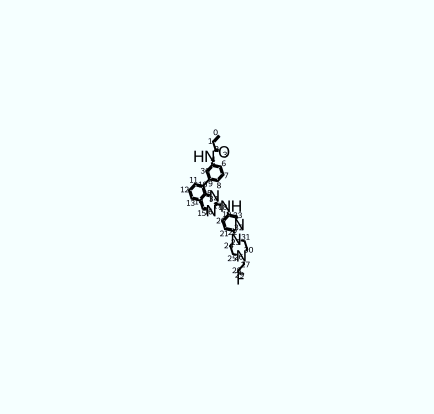 C=CC(=O)Nc1cccc(-c2cccc3cnc(Nc4ccc(N5CCN(CCF)CC5)nc4)nc23)c1